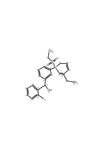 CCS(=O)(=O)[N+]1(c2cccc(C(O)c3ccccc3F)c2)C=C(CN)C=CC1